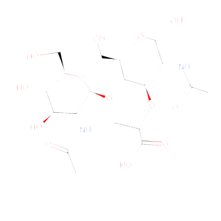 CC(=O)N[C@@H]1[C@@H](OC(C)C(=O)O)[C@H](O[C@@H]2O[C@H](CO)[C@@H](O)[C@H](O)[C@H]2NC(C)=O)[C@@H](CO)O[C@@H]1O